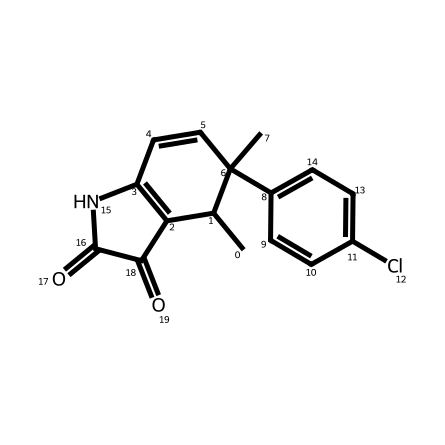 CC1C2=C(C=CC1(C)c1ccc(Cl)cc1)NC(=O)C2=O